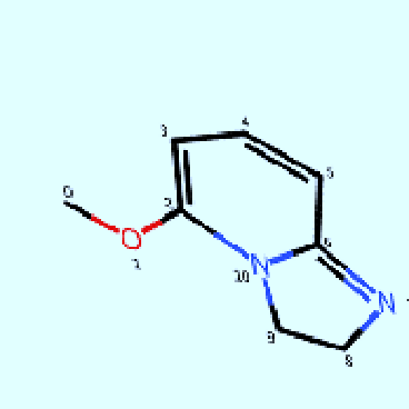 COC1=CC=CC2=NCCN12